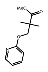 COC(=O)C(C)(C)COc1ccccn1